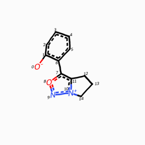 [O-]c1ccccc1-c1on[n+]2c1CCC2